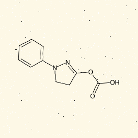 O=C(O)OC1=NN(c2ccccc2)CC1